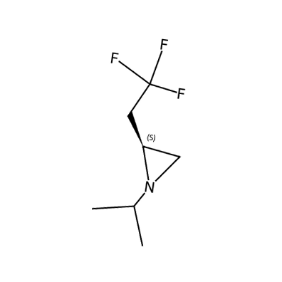 CC(C)N1C[C@@H]1CC(F)(F)F